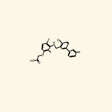 O=C(O)COc1ccc(F)c(NCc2cc(-c3cccc(F)c3)ccc2Cl)c1F